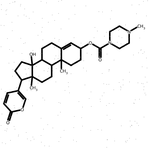 CN1CCN(C(=O)OC2C=C3CCC4C(CCC5(C)C(c6ccc(=O)oc6)CCC45O)C3(C)CC2)CC1